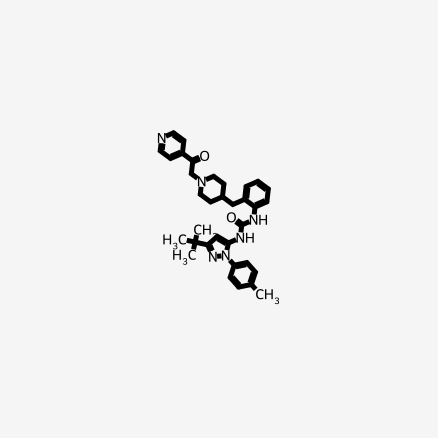 Cc1ccc(-n2nc(C(C)(C)C)cc2NC(=O)Nc2ccccc2CC2CCN(CC(=O)c3ccncc3)CC2)cc1